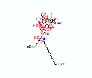 CCCCCCCC/C=C\CCCCCCCCCCCCCCCC(=O)N[C@@H](CO[C@@H]1OC(CO)[C@@H](O[C@@H]2OC(CO)[C@H](O[C@@H]3OC(CO)[C@H](O)[C@H](O)C3NC(C)=O)[C@H](O[C@]3(C(=O)O)CC(O)[C@@H](NC(=O)CO)C([C@H](O)[C@H](O)CO)O3)C2O)[C@H](O)C1O)[C@H](O)/C=C/CCCCCCCCCCCCC